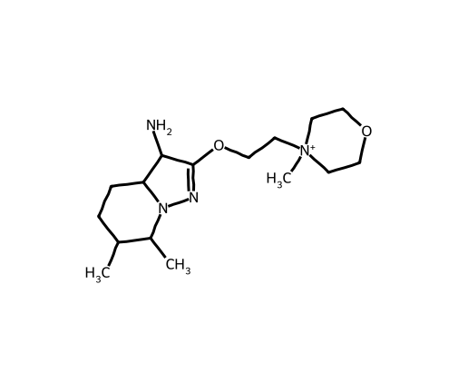 CC1CCC2C(N)C(OCC[N+]3(C)CCOCC3)=NN2C1C